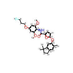 COc1cc(OCCCF)cc(OC)c1NC(=O)c1ccc(Oc2cc3c(cc2C)CCC3(C)C)o1